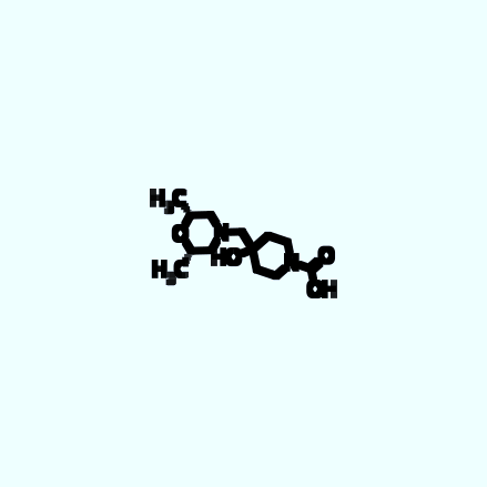 C[C@@H]1CN(CC2(O)CCN(C(=O)O)CC2)C[C@H](C)O1